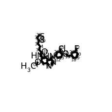 CCOc1cc2ncnc(Nc3ccc(OCc4cccc(F)c4)c(Cl)c3)c2cc1NC(=O)CCCC1CCSS1